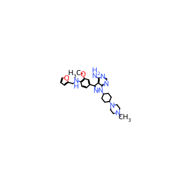 COc1cc(-c2nn(C3CCC(N4CCN(C)CC4)CC3)c3ncnc(N)c23)ccc1NCc1ccco1